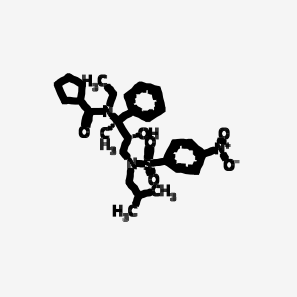 CCN(C(=O)C1CCCC1)[C@@](C)(c1ccccc1)[C@H](O)CN(CC(C)C)S(=O)(=O)c1ccc([N+](=O)[O-])cc1